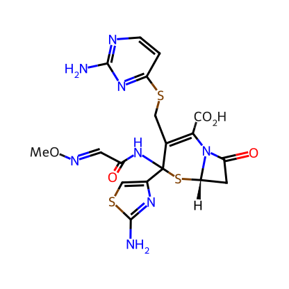 CON=CC(=O)NC1(c2csc(N)n2)S[C@H]2CC(=O)N2C(C(=O)O)=C1CSc1ccnc(N)n1